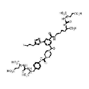 O=C(O)CC[C@H](NC(=O)NC(CCCCNC(=O)c1cc(C(=O)N2CCN(C(=O)Nc3ccc(C[C@H](NC(=O)N[C@@H](CCC(=O)O)C(=O)O)C(=O)O)cc3)CC2)cc(-n2cc(CCCF)nn2)c1)C(=O)O)C(=O)O